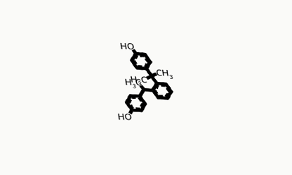 CC(c1ccc(O)cc1)c1ccccc1C(C)(C)c1ccc(O)cc1